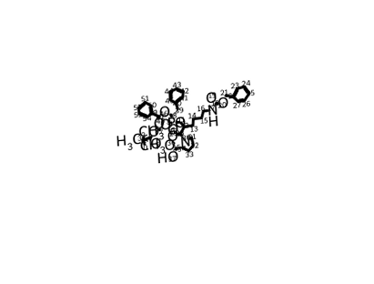 CC(C)(C)C(=O)OCOP(=O)(OC(CCCCNC(=O)OCc1ccccc1)C(=O)N1CCC[C@H]1C(=O)O)[C@@H](Cc1ccccc1)OC(=O)c1ccccc1